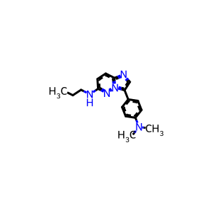 CCCNc1ccc2ncc(-c3ccc(N(C)C)cc3)n2n1